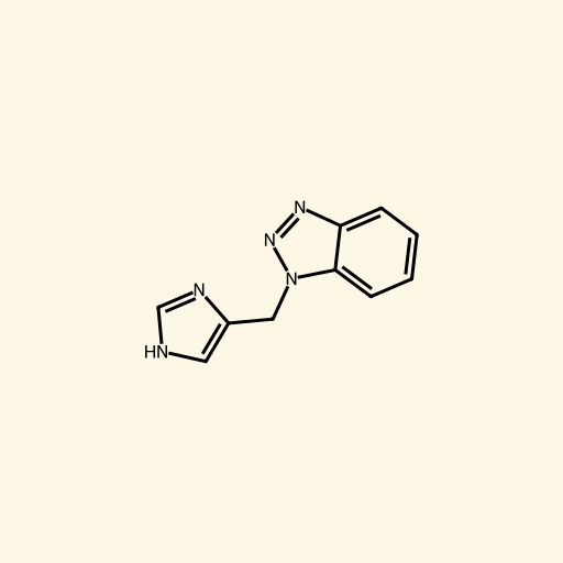 c1ccc2c(c1)nnn2Cc1c[nH]cn1